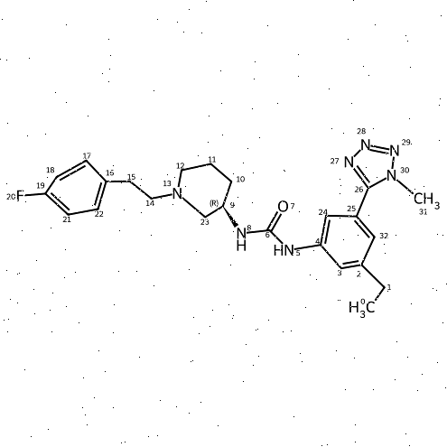 CCc1cc(NC(=O)N[C@@H]2CCCN(CCc3ccc(F)cc3)C2)cc(-c2nnnn2C)c1